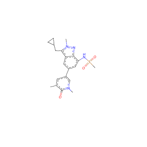 Cc1cc(-c2cc(NS(C)(=O)=O)c3nn(C)c(CC4CC4)c3c2)cn(C)c1=O